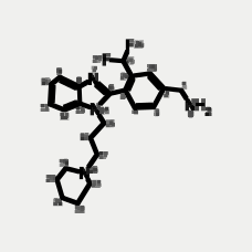 NCc1ccc(-c2nc3ccccc3n2CCCN2CCCCC2)c(C(F)F)c1